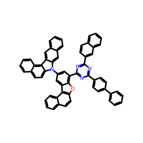 c1ccc(-c2ccc(-c3nc(-c4ccc5ccccc5c4)nc(-c4cc(-n5c6cc7ccccc7cc6c6c7ccccc7ccc65)cc5c4oc4ccc6ccccc6c45)n3)cc2)cc1